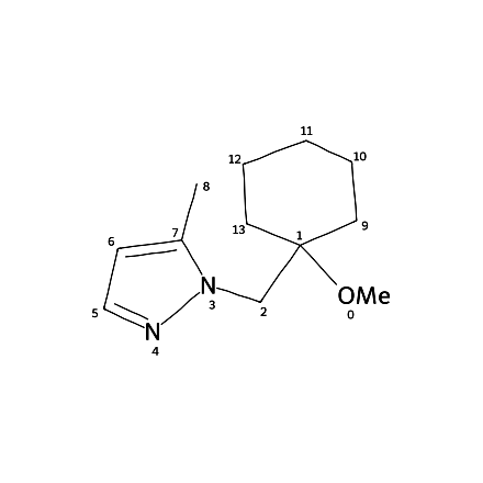 COC1(Cn2nccc2C)CCCCC1